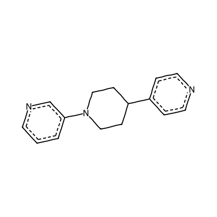 c1cncc(N2CCC(c3ccncc3)CC2)c1